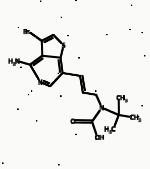 CC(C)(C)N(CC=Cc1cnc(N)c2c(Br)csc12)C(=O)O